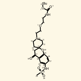 CC(C)(C)OC(=O)NCCOCCN1CCC2(CC1)CC(=O)c1cc(NS(C)(=O)=O)ccc1O2